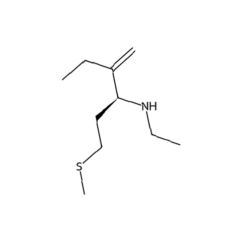 C=C(CC)[C@H](CCSC)NCC